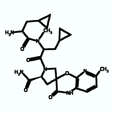 Cc1ccc2c(n1)OC1(C[C@@H](C(N)=O)N(C(=O)C(CC3CC3)N(C)C(=O)C(N)CC3CC3)C1)C(=O)N2